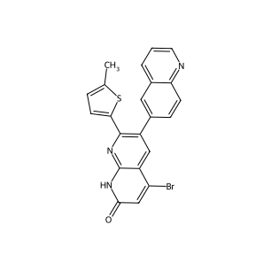 Cc1ccc(-c2nc3[nH]c(=O)cc(Br)c3cc2-c2ccc3ncccc3c2)s1